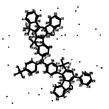 CC(C)(C)c1ccc(N(c2ccc3c(c2)C(C)(C)c2cc(-c4ccccn4)c4oc5ccccc5c4c2-3)c2ccc3c(c2)C(C)(C)c2c4c(c5c(oc6ccccc65)c2-3)-c2ccccc2C4(C)C)cc1